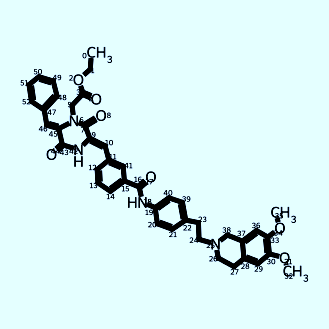 CCOC(=O)Cn1c(=O)/c(=C/c2cccc(C(=O)Nc3ccc(CCN4CCc5cc(OC)c(OC)cc5C4)cc3)c2)[nH]c(=O)/c1=C/c1ccccc1